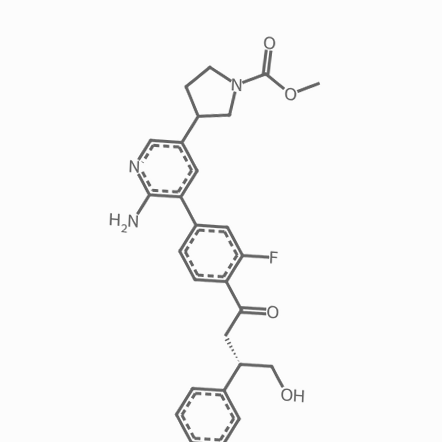 COC(=O)N1CCC(c2cnc(N)c(-c3ccc(C(=O)C[C@H](CO)c4ccccc4)c(F)c3)c2)C1